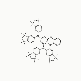 CC1(C)CC(C)(C)c2cc(N(c3ccc4c(c3)C(C)(C)CC4(C)C)c3nc4c5c(n3)N(c3ccc6c(c3)C(C)(C)CC6(C)C)c3cc6c(cc3B5c3ccccc3O4)C(C)(C)CC6(C)C)ccc21